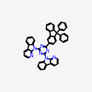 c1ccc(C2(c3ccccc3)c3ccccc3-c3cc(-c4nc(-n5c6ccccc6c6cccnc65)nc(-n5c6ccccc6c6cccnc65)n4)ccc32)cc1